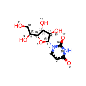 O=c1ccn([C@@H]2O[C@H]([C@@H](O)CO)[C@H](O)[C@H]2O)c(=O)[nH]1